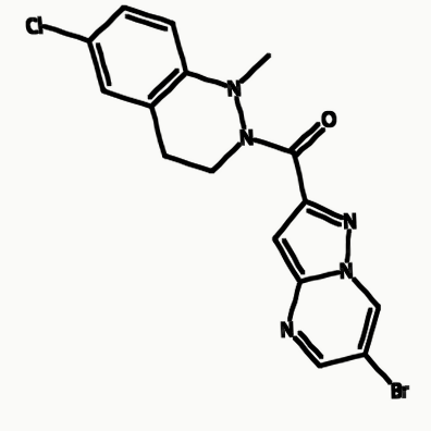 CN1c2ccc(Cl)cc2CCN1C(=O)c1cc2ncc(Br)cn2n1